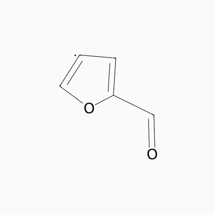 O=Cc1c[c]co1